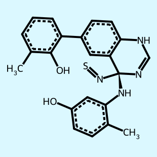 Cc1ccc(O)cc1N[C@]1(N=S)N=CNc2ccc(-c3cccc(C)c3O)cc21